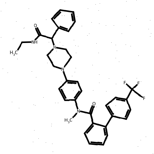 CCNC(=O)C(c1ccccc1)N1CCN(c2ccc(N(C)C(=O)c3ccccc3-c3ccc(C(F)(F)F)cc3)cc2)CC1